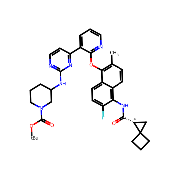 Cc1ccc2c(NC(=O)[C@@H]3CC34CCC4)c(F)ccc2c1Oc1ncccc1-c1ccnc(NC2CCCN(C(=O)OC(C)(C)C)C2)n1